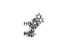 C#Cc1cccc2cccc(-c3ncc4c(O)nc(OC[C@@]56CCCN5C[C@H](F)C6)nc4c3F)c12